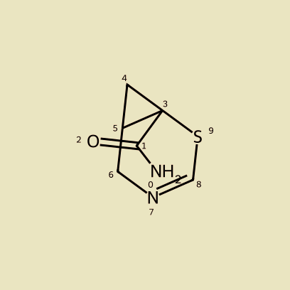 NC(=O)C12CC1CN=CS2